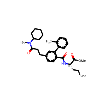 CCCCN(C(=O)CCc1ccc(C(=O)N[C@@H](CCSC)C(=O)OC)c(-c2ccccc2C)c1)C1CCCCC1